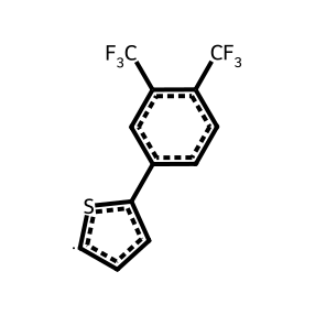 FC(F)(F)c1ccc(-c2cc[c]s2)cc1C(F)(F)F